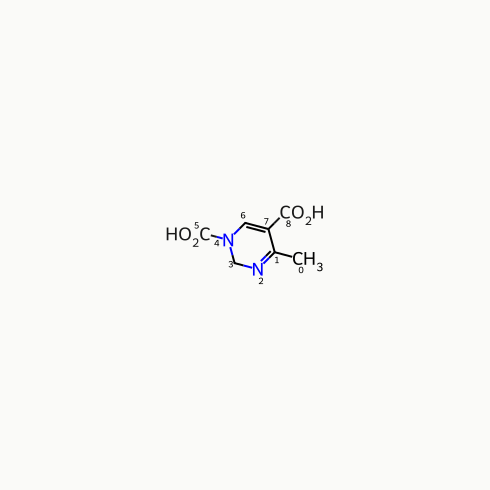 CC1=NCN(C(=O)O)C=C1C(=O)O